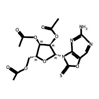 CC(=O)OC[C@H]1O[C@@H](n2c(=S)oc3cnc(N)nc32)[C@H](OC(C)=O)[C@@H]1OC(C)=O